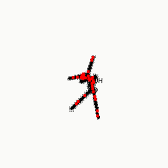 CCCCCCCCCCCCCCCCCCOC(=O)C(Cc1cc(C)c(OC(=O)C(Cc2cc(C(C)(C)C)c(O)c(C(C)(C)C)c2)(Cc2cc(C(C)(C)C)c(O)c(C(C)(C)C)c2)C(=O)OC(C)(SCCCCCCCCCCCC)SCCCCCCCCCCCC)c(C(C)(C)C)c1)C(=O)OCCCCCCCCCCCCCCCCCC